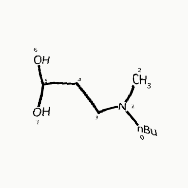 CCCCN(C)CCC(O)O